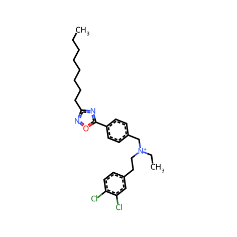 CCCCCCCCc1noc(-c2ccc(C[N+](CC)CCc3ccc(Cl)c(Cl)c3)cc2)n1